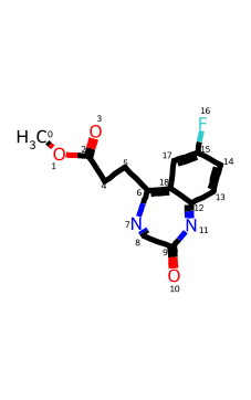 COC(=O)CCc1ncc(=O)nc2ccc(F)cc12